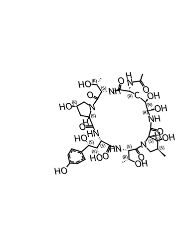 CC(=O)N[C@@H]1C[C@@H](O)[C@@H](O)NC(=O)[C@@H]2[C@@H](O)[C@@H](C)CN2C(=O)[C@H]([C@@H](C)O)NC(=O)[C@H]([C@H](O)[C@@H](O)c2ccc(O)cc2)NC(=O)[C@@H]2C[C@@H](O)CN2C(=O)[C@H]([C@@H](C)O)NC1=O